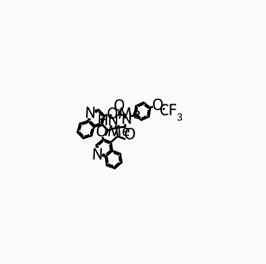 COc1cnc2ccccc2c1C(C)C1(C(C)c2c(OC)cnc3ccccc23)NC(=O)N(c2ccc(OC(F)(F)F)cc2)C1=O